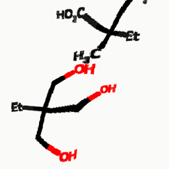 CCC(C)(C)C(=O)O.CCC(CO)(CO)CO